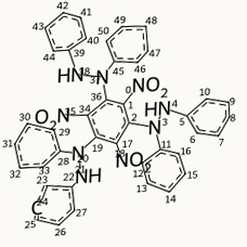 O=[N+]([O-])c1c(N(Nc2ccccc2)c2ccccc2)c([N+](=O)[O-])c(N(Nc2ccccc2)c2ccccc2)c([N+](=O)[O-])c1N(Nc1ccccc1)c1ccccc1